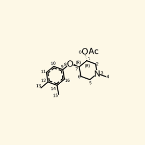 CC(=O)O[C@@H]1CN(C)CC[C@H]1Oc1ccc(C)c(C)c1